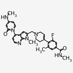 CNC(=O)c1cc(C)c(C2=CCN(Cc3cc4c(-n5ccc(NC)cc5=O)ccnc4n3C)CC2)c(F)c1